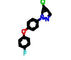 Fc1ccc(Oc2ccc(N3N=CC4=C(Cl)C43)cc2)cc1